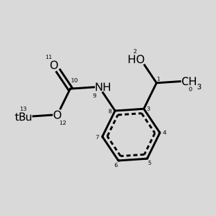 CC(O)c1ccccc1NC(=O)OC(C)(C)C